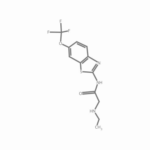 CCNCC(=O)Nc1nc2ccc(OC(F)(F)F)cc2s1